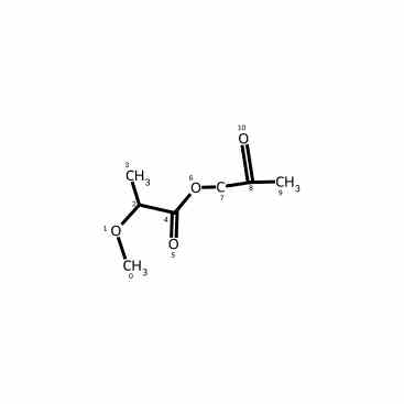 COC(C)C(=O)OCC(C)=O